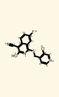 N#Cc1c(O)nc(SCc2ccncc2Cl)c2cc(F)ccc12